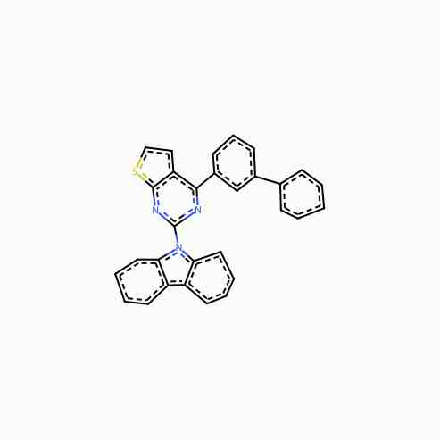 c1ccc(-c2cccc(-c3nc(-n4c5ccccc5c5ccccc54)nc4sccc34)c2)cc1